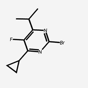 CC(C)c1nc(Br)nc(C2CC2)c1F